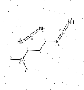 CN(C)CCCN=C=N.N=C=N